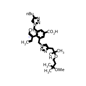 C=C/C(=C/C)c1c(Cn2cc(CCCC)nn2)cc(C(=O)O)cc1Cn1cc(CC(C)(C)OCCC(C)(C)OC)nn1